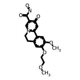 COCCOc1cc2c(cc1OC)-c1cc(=O)c(C(=O)N=O)cn1CC2